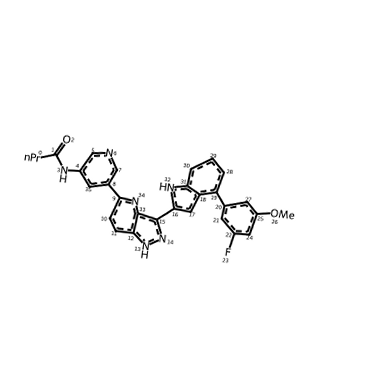 CCCC(=O)Nc1cncc(-c2ccc3[nH]nc(-c4cc5c(-c6cc(F)cc(OC)c6)cccc5[nH]4)c3n2)c1